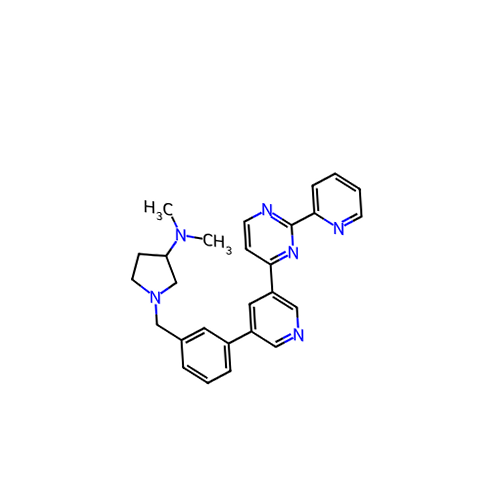 CN(C)C1CCN(Cc2cccc(-c3cncc(-c4ccnc(-c5ccccn5)n4)c3)c2)C1